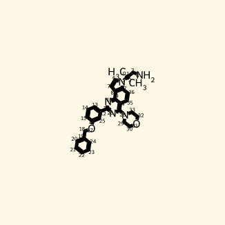 CC(C)(CN)n1ccc2c3nc(-c4cccc(OCc5ccccc5)c4)nc(N4CCOCC4)c3ccc21